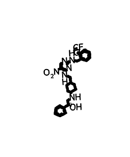 O=[N+]([O-])c1cnc(NCc2ccccc2OC(F)(F)F)nc1NCC1CCC(NC[C@H](O)c2ccccc2)CC1